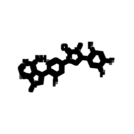 CN1C(=O)N(c2ccc(-c3cn(C)c4ncnc(N)c34)c(F)c2)CC1c1cc(F)c(F)cc1F